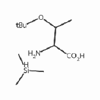 CC(OC(C)(C)C)C(N)C(=O)O.C[SiH](C)C